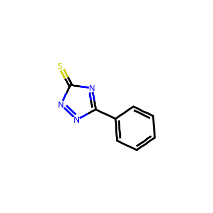 S=C1N=NC(c2ccccc2)=N1